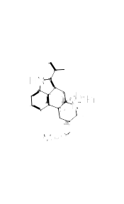 C=C(C)c1[nH]c2cccc3c2c1C[C@@H]1C3C[C@@H](CSC)CN1CCC